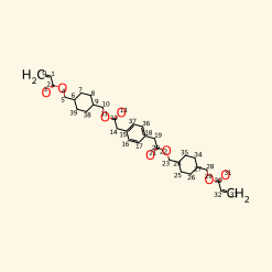 C=CC(=O)OCC1CCC(COC(=O)Cc2ccc(CC(=O)OCC3CCC(COC(=O)C=C)CC3)cc2)CC1